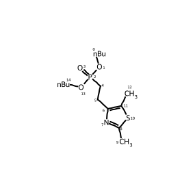 CCCCOP(=O)(CCc1nc(C)sc1C)OCCCC